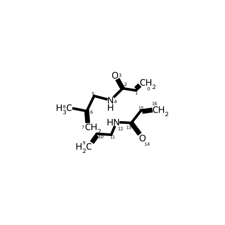 C=CC(=O)NCC(=C)C.C=CCNC(=O)C=C